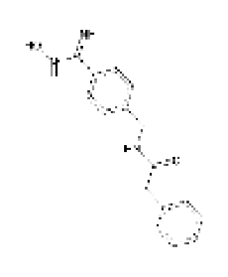 N=C(NO)c1ccc(CNC(=O)Cc2ccccc2)cc1